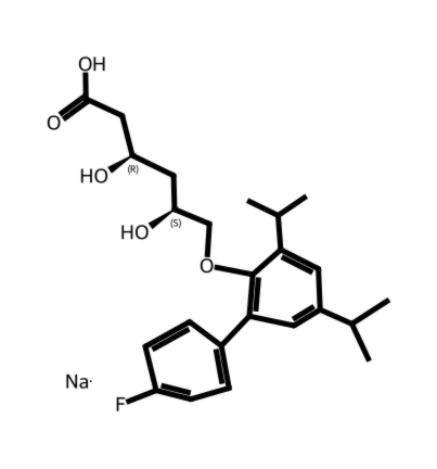 CC(C)c1cc(-c2ccc(F)cc2)c(OC[C@@H](O)C[C@@H](O)CC(=O)O)c(C(C)C)c1.[Na]